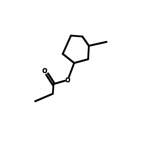 CCC(=O)OC1CCCC(C)C1